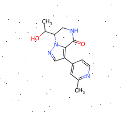 Cc1cc(-c2cnn3c2C(=O)NCC3C(C)O)ccn1